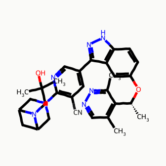 Cc1cnnc(C)c1[C@@H](C)Oc1ccc2[nH]nc(-c3cnc(N4CC5CC(C4)N5CC(C)(C)O)c(C#N)c3)c2c1